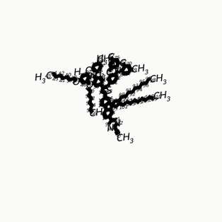 CC#Cc1ncc(C2=CC3C(C=C2)c2ccc(-c4cc(-c5ccc(N(c6ccc(C)cc6C)c6ccc(OCCCCCCCC)cc6OCCCCCCCC)cc5)c(-c5ccc(N(c6ccc(C)cc6C)c6ccc(C)cc6C)cc5)s4)cc2C3(CCCCCCCCCCCC)CCCCCCCCCCCC)cn1